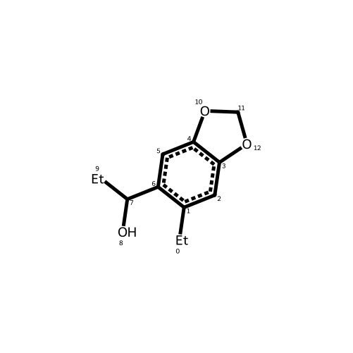 CCc1cc2c(cc1C(O)CC)OCO2